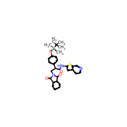 CC(C)(C)[Si](C)(C)Oc1ccc(C(CN2C(=O)c3ccccc3C2=O)C(=O)Nc2cc3ccncc3s2)cc1